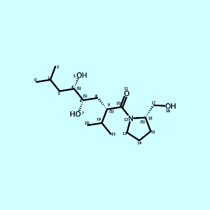 CC(C)C[C@H](O)[C@@H](O)C[C@H](C(=O)N1CCC[C@H]1CO)C(C)C